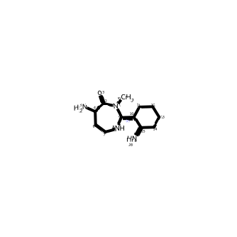 CN1C(=O)C(N)CCN/C1=C1/CCCCC1=N